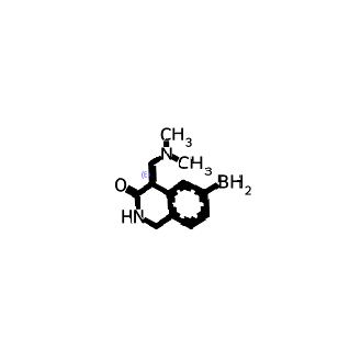 Bc1ccc2c(c1)/C(=C\N(C)C)C(=O)NC2